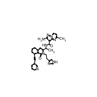 Cc1ccn2nc(N)c(C(=O)NC(C)c3cc4cccc(C#Cc5cccnc5)c4c(=O)n3CCc3c[nH]cn3)c2n1